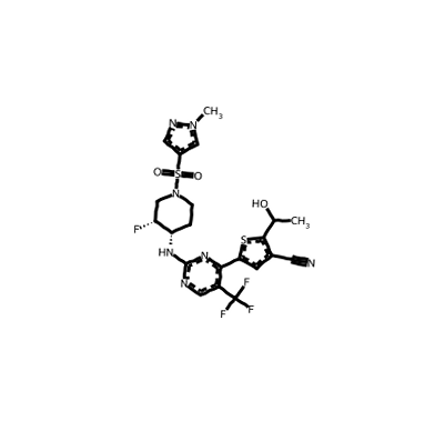 CC(O)c1sc(-c2nc(N[C@H]3CCN(S(=O)(=O)c4cnn(C)c4)C[C@H]3F)ncc2C(F)(F)F)cc1C#N